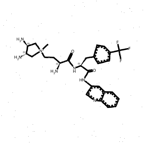 C[N+]1(CC[C@H](N)C(=O)N[C@@H](Cc2ccc(C(F)(F)F)cc2)C(=O)Nc2cnc3ccccc3c2)C[C@H](N)[C@@H](N)C1